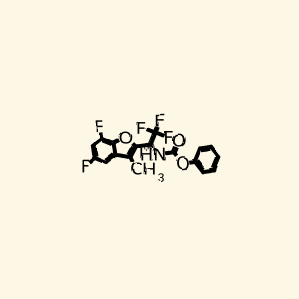 Cc1c([C@@H](NC(=O)Oc2ccccc2)C(F)(F)F)oc2c(F)cc(F)cc12